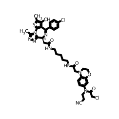 Cc1sc2c(c1C)C(c1ccc(Cl)cc1)=N[C@@H](CC(=O)NCCCCCNC(=O)CN1CCOc3cc(N(CCC#N)C(=O)CCl)ccc31)c1nnc(C)n1-2